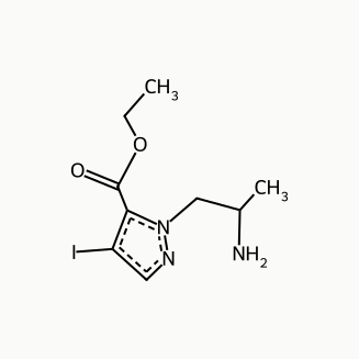 CCOC(=O)c1c(I)cnn1CC(C)N